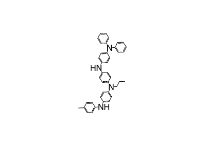 CCCN(c1ccc(Nc2ccc(C)cc2)cc1)c1ccc(Nc2ccc(N(c3ccccc3)c3ccccc3)cc2)cc1